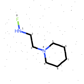 FNCCN1CCCCC1